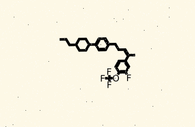 CCCC1CCC(c2ccc(CCC=C(C)c3ccc(OC(F)(F)F)c(F)c3)cc2)CC1